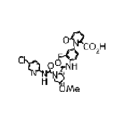 CO[C@@H]1C[C@H](C(=O)Nc2ccc(-n3c(C(=O)O)cccc3=O)cc2F)N(C(=O)Nc2ccc(Cl)cn2)C1